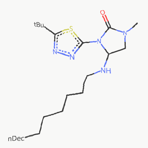 CCCCCCCCCCCCCCCCNC1CN(C)C(=O)N1c1nnc(C(C)(C)C)s1